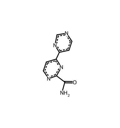 NC(=O)c1nccc(-c2ccncn2)n1